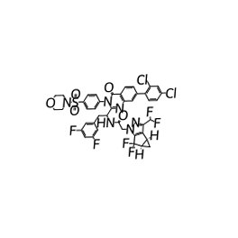 O=C(Cn1nc(C(F)F)c2c1C(F)(F)[C@@H]1C[C@H]21)NC(Cc1cc(F)cc(F)c1)c1nc2cc(-c3ccc(Cl)cc3Cl)ccc2c(=O)n1-c1ccc(S(=O)(=O)N2CCOCC2)cc1